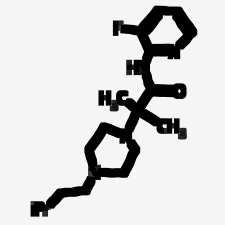 CC(C)CCN1CCN(C(C)(C)C(=O)Nc2ncccc2F)CC1